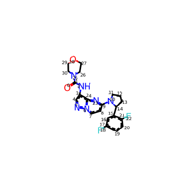 O=C(Nc1cnn2ccc(N3CCCC3c3cc(F)ccc3F)nc12)N1CCOCC1